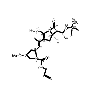 C=CCOC(=O)N1C[C@@H](OC)C[C@H]1C=C(C)C1=C(C(=O)O)N2C(=O)[C@H]([C@@H](C)O[Si](C)(C)C(C)(C)C)[C@H]2C1